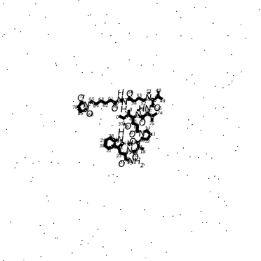 CCC(C)C(C(CC(=O)N1CCC[C@H]1C(OC)C(C)C(=O)NC(Cc1c[nH]c2ccccc12)C(N)=O)OC)N(C)C(=O)C(NC(=O)C(C(C)C)N(C)CCCC(=O)NNC(=O)CCCCCN1C(=O)C=CC1=O)C(C)C